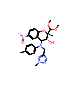 COC(OC)[C@@]1(C)Oc2ccc([N+](=O)[O-])cc2[C@H](N(Cc2nnn(C)n2)c2ccc(C)cc2)[C@H]1O